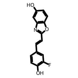 Oc1ccc2oc(C=Cc3ccc(O)c(F)c3)nc2c1